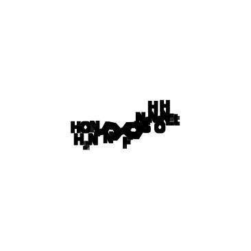 CCNC(=O)Nc1nc2cc(-c3ccc(/C(N)=N/O)nc3)c(F)cc2s1